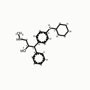 CNCC(O)C(c1ccccc1)c1ccc(SC2CCCCC2)cc1